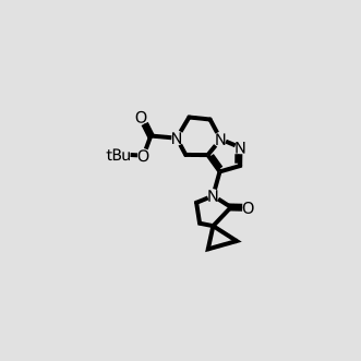 CC(C)(C)OC(=O)N1CCn2ncc(N3CCC4(CC4)C3=O)c2C1